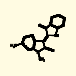 Cc1ccc2c(c1)N(C)C(=O)/C2=C1\Nc2ccccc2C1=O